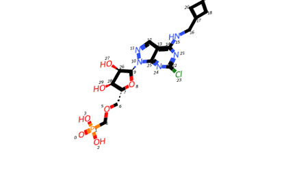 O=P(O)(O)COC[C@H]1O[C@@H](n2ncc3c(NCC4CCC4)nc(Cl)nc32)[C@H](O)[C@@H]1O